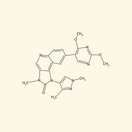 COc1ncc(-c2ccc3ncc4c(c3c2)n(-c2cn(C)nc2C)c(=O)n4C)c(OC)n1